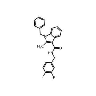 Cc1c(C(=O)NCc2ccc(F)c(F)c2)c2ccccc2n1Cc1ccccc1